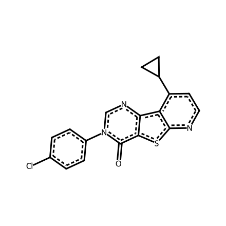 O=c1c2sc3nccc(C4CC4)c3c2ncn1-c1ccc(Cl)cc1